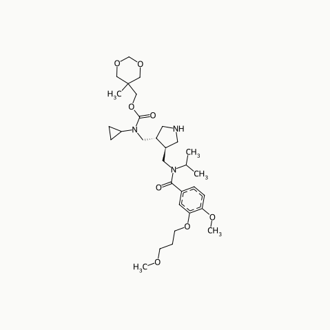 COCCCOc1cc(C(=O)N(C[C@@H]2CNC[C@H]2CN(C(=O)OCC2(C)COCOC2)C2CC2)C(C)C)ccc1OC